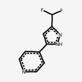 FC(F)c1cc(-c2ccncc2)[nH]n1